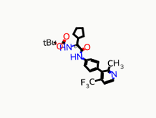 Cc1nccc(C(F)(F)F)c1-c1ccc(NC(=O)[C@@H](NC(=O)OC(C)(C)C)C2CCCC2)cc1